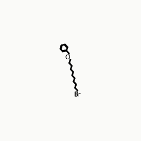 BrCCCCCCCCCCCOCc1ccccc1